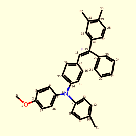 COc1ccc(N(c2ccc(C)cc2)c2ccc(/C=C(\c3ccccc3)c3ccc(C)c(C)c3)cc2)cc1